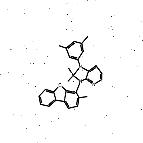 Cc1cc(C)cc(N2c3cccnc3N(c3c(C)ccc4c3oc3ccccc34)C2(C)C)c1